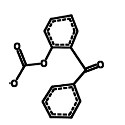 [O]C(=O)Oc1ccccc1C(=O)c1ccccc1